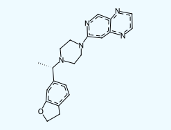 C[C@@H](c1ccc2c(c1)OCC2)N1CCN(c2cc3nccnc3cn2)CC1